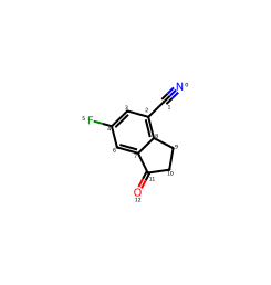 N#Cc1cc(F)cc2c1CCC2=O